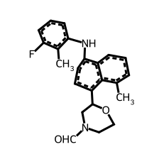 Cc1c(F)cccc1Nc1ccc(C2CN(C=O)CCO2)c2c(C)cccc12